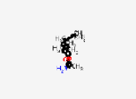 Cc1cc(N)cc(C(=O)OC2CC[C@@]3(C)C(CC[C@]4(C)C3CC[C@]3(C)C(C(C)CCCCC(C)C)CCC43)C2)c1